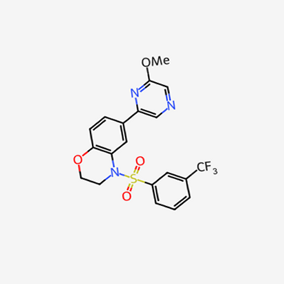 COc1cncc(-c2ccc3c(c2)N(S(=O)(=O)c2cccc(C(F)(F)F)c2)CCO3)n1